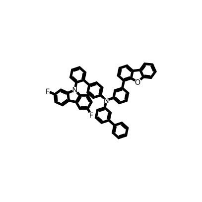 Fc1ccc2c(c1)c1ccc(F)cc1n2-c1ccccc1-c1ccc(N(c2cccc(-c3ccccc3)c2)c2cccc(-c3cccc4c3oc3ccccc34)c2)cc1